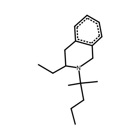 CCCC(C)(C)N1Cc2ccccc2CC1CC